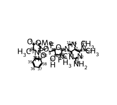 COC(=O)[C@@H](C)NP(=S)(OC[C@@]1(F)O[C@@H](n2cnc3c(N(C)C)nc(N)nc32)[C@](C)(F)[C@@H]1O)Oc1ccccc1